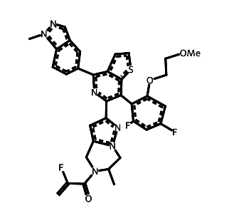 C=C(F)C(=O)N1Cc2cc(-c3nc(-c4ccc5c(cnn5C)c4)c4ccsc4c3-c3c(F)cc(F)cc3OCCOC)nn2CC1C